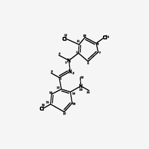 C/C(=N\N(C)c1ccc(Cl)cc1Cl)c1cc(Cl)ccc1N(C)C